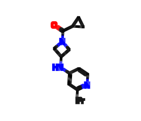 CC(C)c1cc(NC2CN(C(=O)C3CC3)C2)ccn1